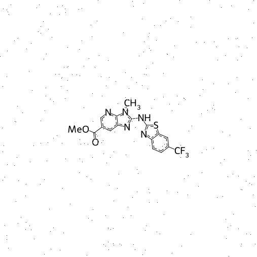 COC(=O)c1cnc2c(c1)nc(Nc1nc3ccc(C(F)(F)F)cc3s1)n2C